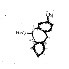 N#Cc1ccc2c(c1)OC(C(=O)O)Oc1ccccc1C2